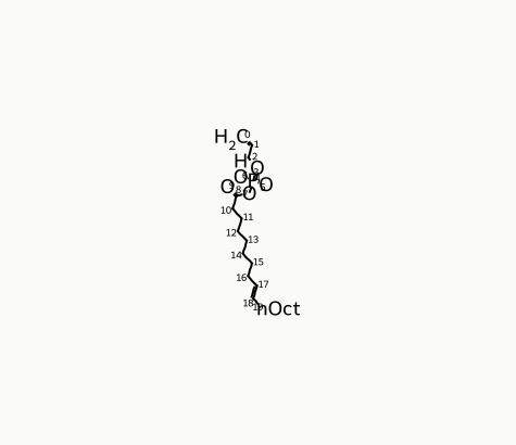 C=CCOP(=O)(O)OC(=O)CCCCCCCC=CCCCCCCCC